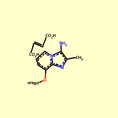 CCCCCCCOc1cccn2c(N)c(C)nc12.O=C(O)C=CC(=O)O